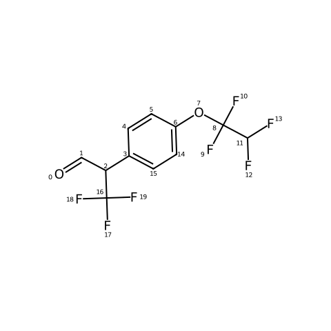 O=CC(c1ccc(OC(F)(F)C(F)F)cc1)C(F)(F)F